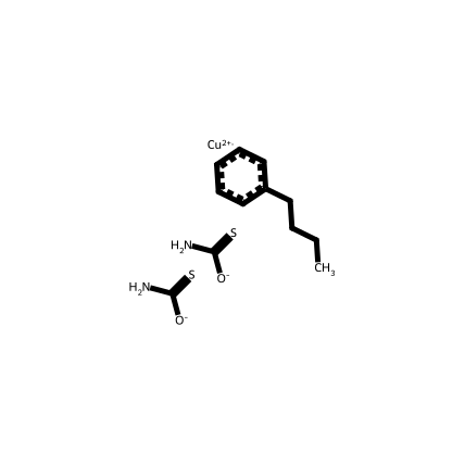 CCCCc1ccccc1.NC([O-])=S.NC([O-])=S.[Cu+2]